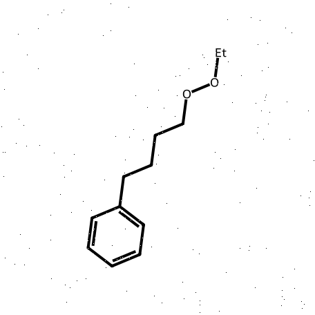 CCOOCCCCc1ccccc1